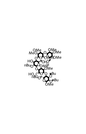 CCCCOC[C@H]1O[C@H](OC)[C@H](OCCCC)[C@@H](OCCCC)[C@@H]1O[C@@H]1O[C@@H](C(=O)O)[C@@H](O[C@H]2O[C@H](CO)[C@@H](O[C@@H]3O[C@H](C(=O)O)[C@@H](O[C@H]4O[C@H](CO)[C@@H](OC)[C@H](OC)[C@H]4OC)[C@H](OC)[C@H]3OC)[C@H](O)[C@H]2OCCCC)[C@H](OC)[C@H]1OC